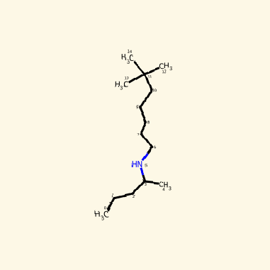 CCCC(C)NCCCCCC(C)(C)C